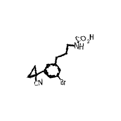 N#CC1(c2cc(Br)cc(CCCNC(=O)O)c2)CC1